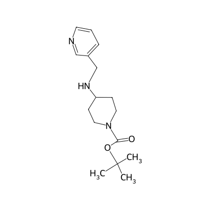 CC(C)(C)OC(=O)N1CCC(NCc2cccnc2)CC1